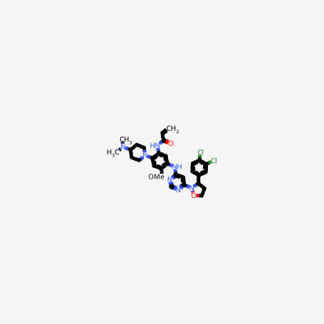 C=CC(=O)Nc1cc(Nc2cc(N3OCCC3c3ccc(Cl)c(Cl)c3)ncn2)c(OC)cc1N1CCC(N(C)C)CC1